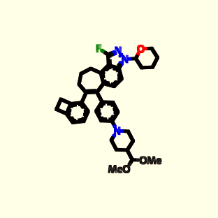 COC(OC)C1CCN(c2ccc(C3=C(c4cccc5c4CC5)CCCc4c3ccc3c4c(F)nn3C3CCCCO3)cc2)CC1